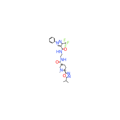 CC(C)c1nnc([C@@H]2CC[C@@H](C(=O)NCCNC(=O)c3cn(-c4ccccc4)nc3C(F)(F)F)CN2C)o1